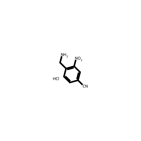 Cl.N#Cc1ccc(CN)c([N+](=O)[O-])c1